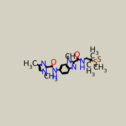 Cc1cn(C)c(C(=O)Nc2ccc3nc(C(=O)NCC(C)(C)S(C)=S)n(C)c3c2)n1